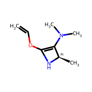 C=COC1=C(N(C)C)[C@@H](C)N1